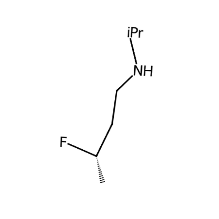 CC(C)NCC[C@H](C)F